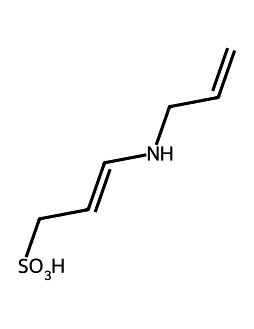 C=CCNC=CCS(=O)(=O)O